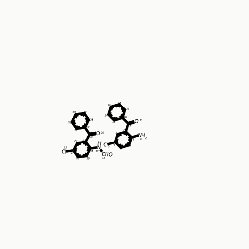 Nc1ccc(Cl)cc1C(=O)c1ccccc1.O=CNc1ccc(Cl)cc1C(=O)c1ccccc1